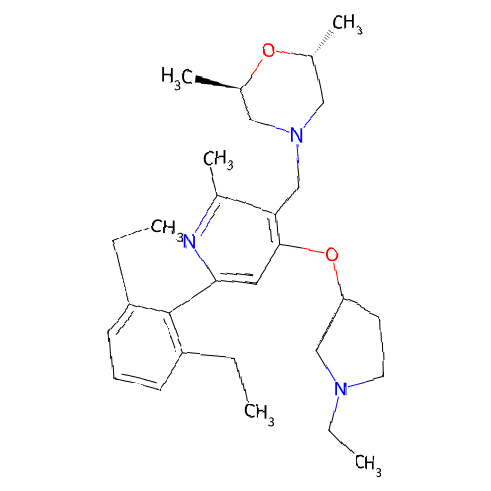 CCc1cccc(CC)c1-c1cc(OC2CCN(CC)C2)c(CN2C[C@@H](C)O[C@H](C)C2)c(C)n1